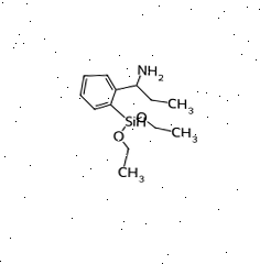 CCO[SiH](OCC)c1ccccc1C(N)CC